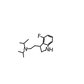 CC(C)N(CCC1CNc2cccc(F)c21)C(C)C